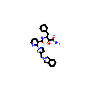 NC(=O)C(O)C(Cc1ccccc1)NC(=O)c1cccnc1-n1ccc(CN2Cc3ccccc3C2)n1